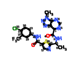 CC(NC(=O)c1ncnc2c1nnn2C)c1ncc(C(=O)Nc2ccc(Cl)c(C(F)(F)F)c2)s1